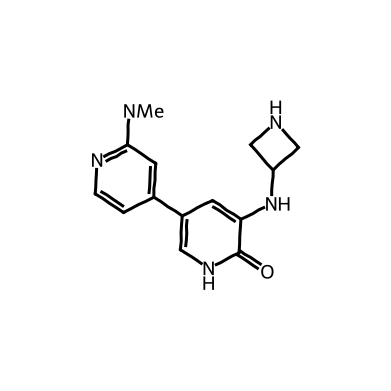 CNc1cc(-c2c[nH]c(=O)c(NC3CNC3)c2)ccn1